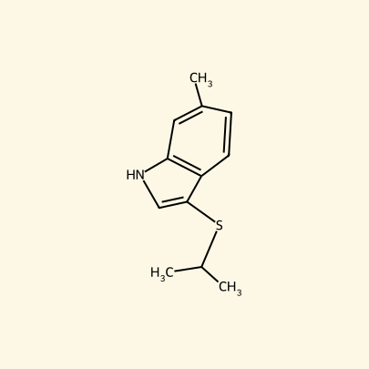 Cc1ccc2c(SC(C)C)c[nH]c2c1